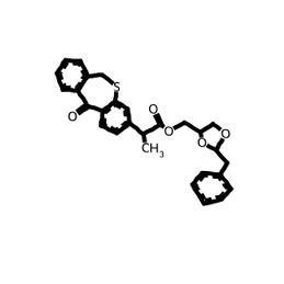 CC(C(=O)OCC1COC(Cc2ccccc2)O1)c1ccc2c(c1)SCc1ccccc1C2=O